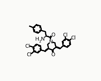 Cc1ccc(C[C@H](N)C(=O)N2C/C(=C\c3ccc(Cl)c(Cl)c3)C(=O)/C(=C/c3ccc(Cl)c(Cl)c3)C2)cc1